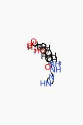 C[C@]12CC[C@H](NC(=O)NCCN3CCNCC3)C[C@H]1CC[C@@H]1[C@@H]2CC[C@]2(C)[C@@H](C3=CC(=O)OC3)CC[C@]12O